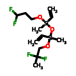 C=C[Si](C)(OCCC(F)F)O[Si](C)(C=C)OCC(C)(F)F